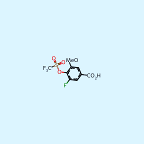 COc1cc(C(=O)O)cc(F)c1OS(=O)(=O)C(F)(F)F